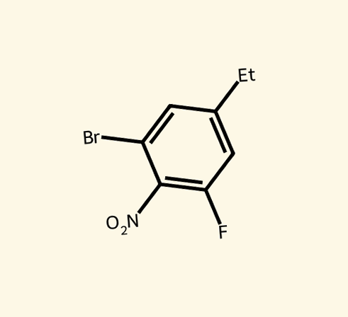 CCc1cc(F)c([N+](=O)[O-])c(Br)c1